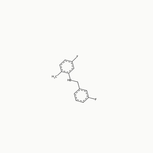 Cc1ccc(F)cc1BCc1cccc(F)c1